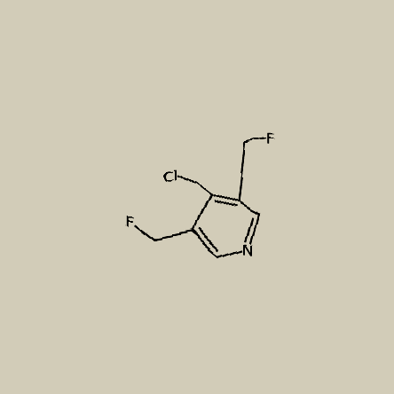 FCc1cncc(CF)c1Cl